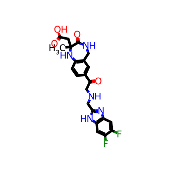 CC1(CC(=O)O)Nc2ccc(C(=O)CNCc3nc4cc(F)c(F)cc4[nH]3)cc2CNC1=O